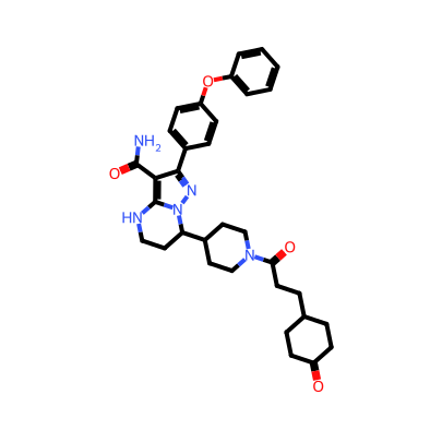 NC(=O)c1c(-c2ccc(Oc3ccccc3)cc2)nn2c1NCCC2C1CCN(C(=O)CCC2CCC(=O)CC2)CC1